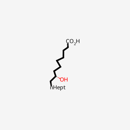 CCCCCCCC[C@@H](O)CCCCCCC(=O)O